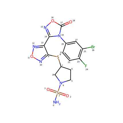 NS(=O)(=O)N1CCC(Sc2nonc2-c2noc(=O)n2-c2ccc(F)c(Br)c2)C1